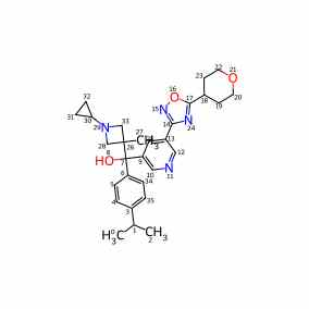 CC(C)c1ccc(C(O)(c2cncc(-c3noc(C4CCOCC4)n3)c2)C2(C)CN(C3CC3)C2)cc1